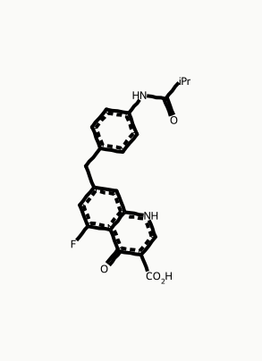 CC(C)C(=O)Nc1ccc(Cc2cc(F)c3c(=O)c(C(=O)O)c[nH]c3c2)cc1